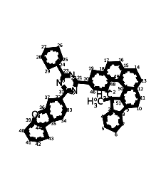 CC1(C)c2ccccc2-c2ccc3ccc4ccc5cc(-c6nc(-c7ccccc7)nc(-c7ccc8c(c7)oc7ccccc78)n6)ccc5c4c3c21